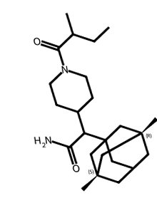 CCC(C)C(=O)N1CCC(C(C(N)=O)C23CC4C[C@@](C)(C2)C[C@](C)(C4)C3)CC1